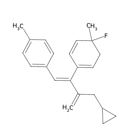 C=C(CC1CC1)/C(=C/c1ccc(C)cc1)C1=CCC(C)(F)C=C1